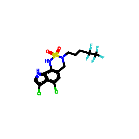 O=S1(=O)Nc2c(cc(Cl)c3c(Cl)c[nH]c23)CN1CCCC(F)(F)C(F)(F)F